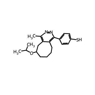 Cc1nnc(-c2ccc(S)cc2)c2c1CC(OC(C)C)CCCC2